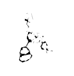 Cn1cc(S(=O)(=O)Nc2nc(OCCC(C)(C)O)cc(-c3ccc4ccccc4c3)n2)cn1